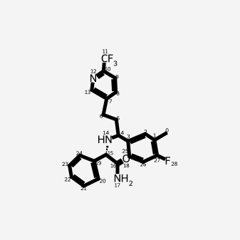 Cc1cc(C(CCc2ccc(C(F)(F)F)nc2)N[C@H](C(N)=O)c2ccccc2)ccc1F